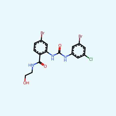 O=C(Nc1cc(Cl)cc(Br)c1)Nc1cc(Br)ccc1C(=O)NCCO